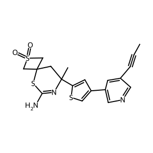 CC#Cc1cncc(-c2csc(C3(C)CC4(CS(=O)(=O)C4)SC(N)=N3)c2)c1